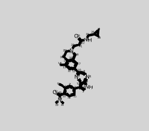 Cc1cc(-c2c[nH]c3ncc(-c4cc(C)c5c(c4)CN(CCC(=O)NCC4CC4)CC5)nc23)ccc1C(=O)N(C)C